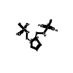 CS(=O)(=O)OC[C@H]1CCC[C@@H]1COS(C)(=O)=O